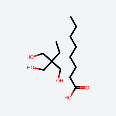 CCC(CO)(CO)CO.CCCCCCCC(=O)O